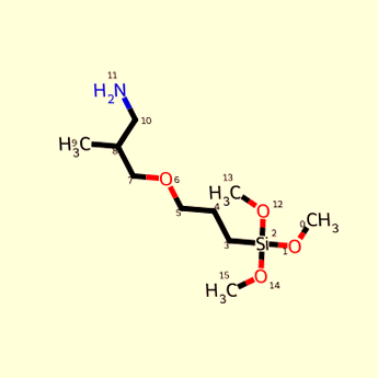 CO[Si](CCCOCC(C)CN)(OC)OC